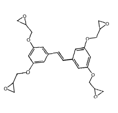 C(=Cc1cc(OCC2CO2)cc(OCC2CO2)c1)c1cc(OCC2CO2)cc(OCC2CO2)c1